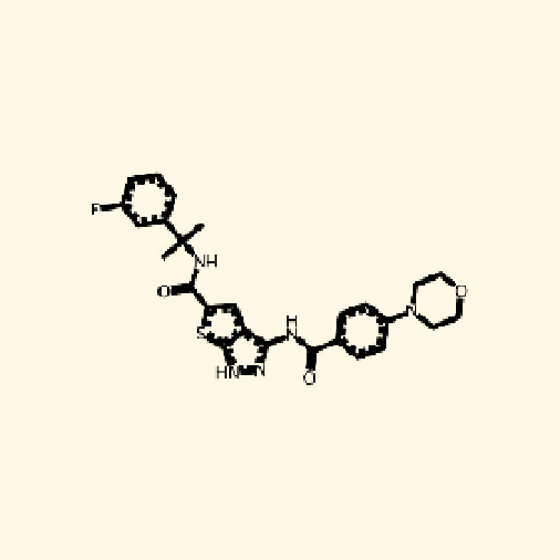 CC(C)(NC(=O)c1cc2c(NC(=O)c3ccc(N4CCOCC4)cc3)n[nH]c2s1)c1cccc(F)c1